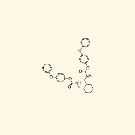 O=C(NCC1CCCCC1CNC(=O)Oc1ccc(Oc2ccccc2)cc1)Oc1ccc(Oc2ccccc2)cc1